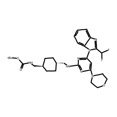 CC(C)(C)OC(=O)NC[C@H]1CC[C@H](CNc2nc(N3CCOCC3)cc(-n3c(C(F)F)nc4ccccc43)n2)CC1